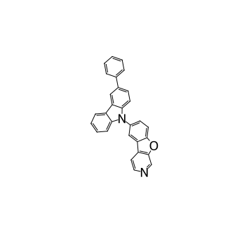 c1ccc(-c2ccc3c(c2)c2ccccc2n3-c2ccc3oc4cnccc4c3c2)cc1